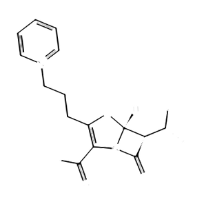 C[C@@H](O)[C@H]1C(=O)N2C(C(=O)[O-])=C(CCC[n+]3ccccc3)S[C@H]12